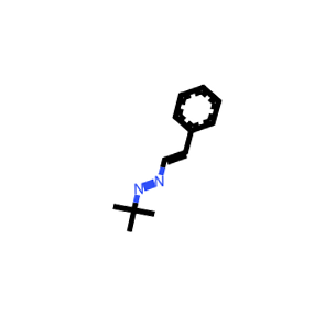 CC(C)(C)N=NC=Cc1ccccc1